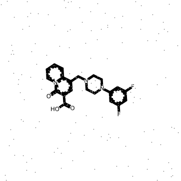 O=C(O)c1cc(CN2CCN(c3cc(F)cc(F)c3)CC2)c2ccccn2c1=O